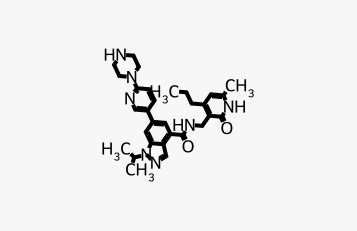 CCCc1cc(C)[nH]c(=O)c1CNC(=O)c1cc(-c2ccc(N3CCNCC3)nc2)cc2c1cnn2C(C)C